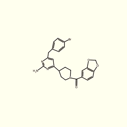 Nc1nc(Cc2ccc(Br)cc2)cc(C2CCN(C(=O)c3ccc4c(c3)OCO4)CC2)n1